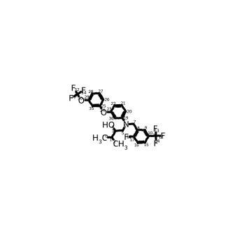 CC(C)C(O)CN(Cc1cc(C(F)(F)F)ccc1F)c1cccc(Oc2cccc(OC(F)(F)F)c2)c1